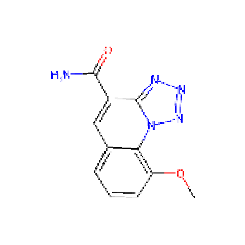 COc1cccc2cc(C(N)=O)c3nnnn3c12